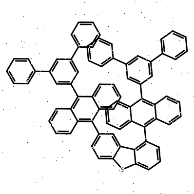 c1ccc(-c2cc(-c3ccccc3)cc(-c3c4ccccc4c(-c4ccc5sc6cccc(-c7c8ccccc8c(-c8cc(-c9ccccc9)cc(-c9ccccc9)c8)c8ccccc78)c6c5c4)c4ccccc34)c2)cc1